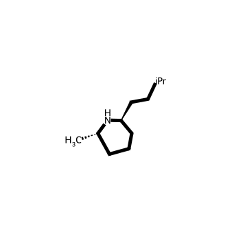 CC(C)CC[C@H]1CCC[C@H](C)N1